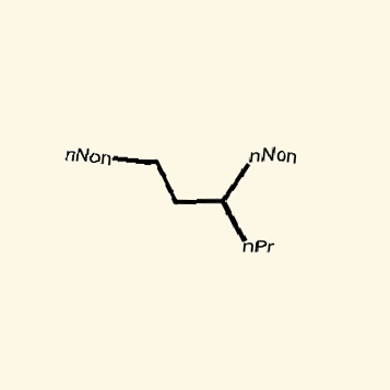 [CH2]CCC(CCCCCCCCC)CCCCCCCCCCC